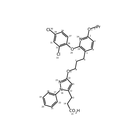 CC(C)Oc1ccc(CCCOc2cc(CCC(=O)O)n(-c3ccccc3)n2)c(Oc2ccc(Cl)cc2Cl)n1